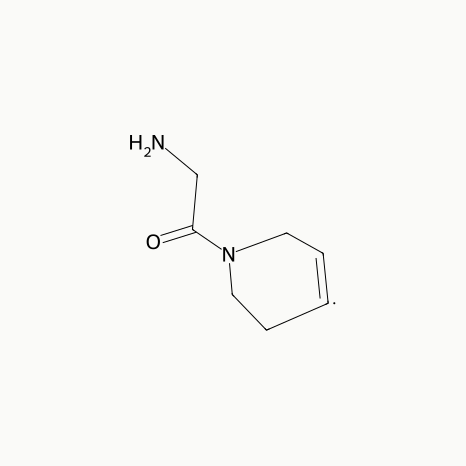 NCC(=O)N1CC=[C]CC1